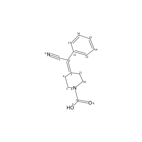 N#CC(=C1CCN(C(=O)O)CC1)c1ccccc1